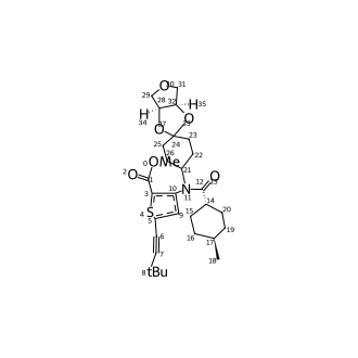 COC(=O)c1sc(C#CC(C)(C)C)cc1N(C(=O)[C@H]1CC[C@H](C)CC1)C1CCC2(CC1)O[C@H]1COC[C@H]1O2